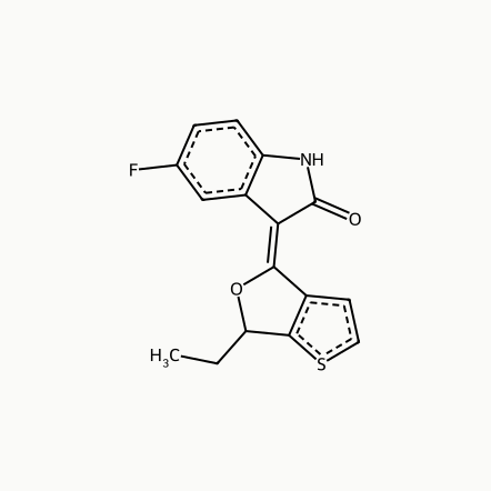 CCC1OC(=C2C(=O)Nc3ccc(F)cc32)c2ccsc21